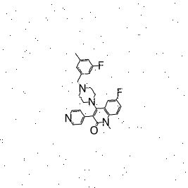 Cc1cc(F)cc(CN2CCN(c3c(-c4ccncc4)c(=O)n(C)c4ccc(F)cc34)CC2)c1